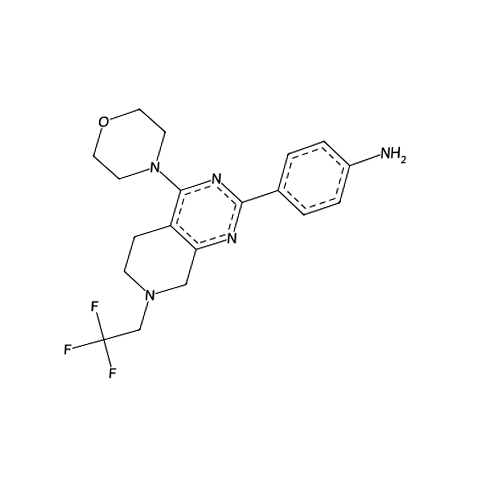 Nc1ccc(-c2nc3c(c(N4CCOCC4)n2)CCN(CC(F)(F)F)C3)cc1